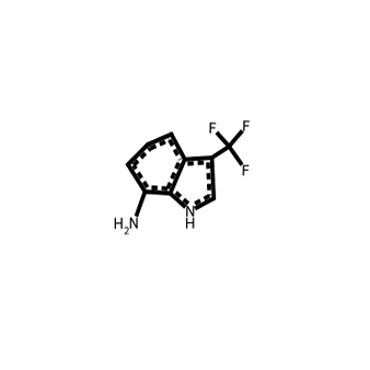 Nc1cccc2c(C(F)(F)F)c[nH]c12